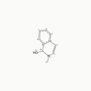 CN1C=Cc2ccccc2C1O